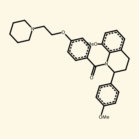 COc1ccc(C2CCc3cccc(OC)c3N2C(=O)c2ccc(OCCN3CCCCC3)cc2)cc1